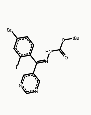 CC(C)(C)OC(=O)N/N=C(/c1cncnc1)c1ccc(Br)cc1F